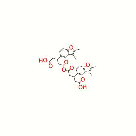 Cc1oc2ccc(C(CC(=O)O)CC(=O)OC(=O)CC(CC(=O)O)c3ccc4oc(C)c(C)c4c3)cc2c1C